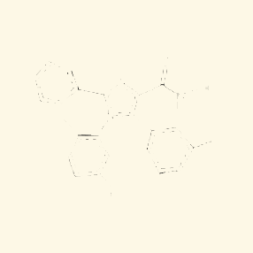 Cc1ccc(Cl)cc1-n1c(-c2ccccc2)nc(C(=O)NO)c1-c1cccc(Cl)c1